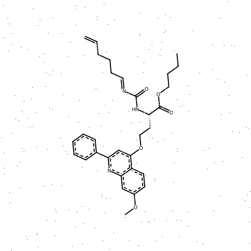 C=CCCC/C=N/C(=O)N[C@@H](CCOc1cc(-c2ccccc2)nc2cc(OC)ccc12)C(=O)OCCCC